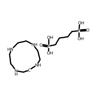 C1CNCCNCCNCCN1.O=P(O)(O)CCCCP(=O)(O)O